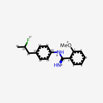 COc1ccccc1C(=N)Nc1ccc(CC(C)F)cc1